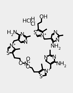 Cc1ncc(C[n+]2csc(CCO)c2C)c(N)n1.Cc1ncc(C[n+]2csc(CCO[N+](=O)OCCc3sc[n+](Cc4cnc(C)nc4N)c3C)c2C)c(N)n1.Cl.Cl